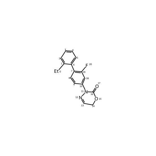 CCc1ccccc1-c1ccc(N2N=CCOC2=O)cc1F